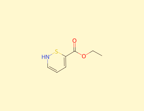 CCOC(=O)C1=CC=CNS1